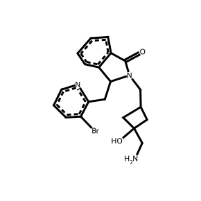 NCC1(O)CC(CN2C(=O)c3ccccc3C2Cc2ncccc2Br)C1